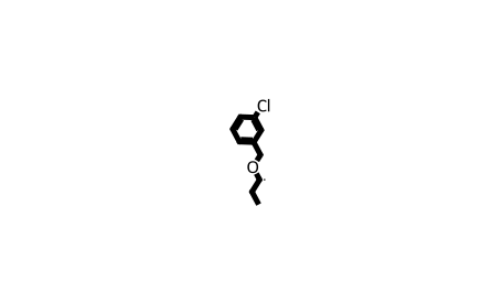 CC[CH]OCc1cccc(Cl)c1